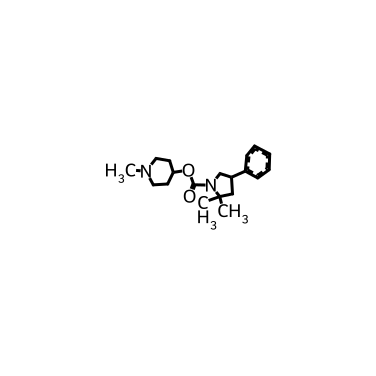 CN1CCC(OC(=O)N2CC(c3ccccc3)CC2(C)C)CC1